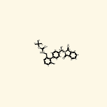 Cc1cccc(CNC(=O)OC(C)(C)C)c1-c1ccc([C@@H](C)N2C(=O)c3ccccc3C2=O)cc1